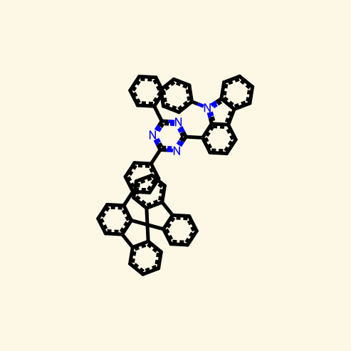 c1ccc(-c2nc(-c3ccc(-c4cccc5c4C4(c6ccccc6-c6ccccc64)c4ccccc4-5)cc3)nc(-c3cccc4c5ccccc5n(-c5ccccc5)c34)n2)cc1